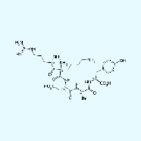 CC(C)[C@H](NC(=O)[C@H](CC(=O)O)NC(=O)[C@@](N)(CCCCN)C(=O)[C@@H](N)CCCNC(=N)N)C(=O)N[C@@H](Cc1ccc(O)cc1)C(=O)O